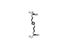 CC(=N)SCCC[C@H]1C[C@@H](CCSC(=N)N)C1